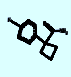 NC(=O)C1(c2ccc(F)cc2)CCC1